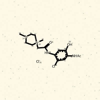 CC(=O)Nc1cc(Cl)c(NC(=O)C[N+]2(C)CCN(C)CC2)cc1O.[Cl-]